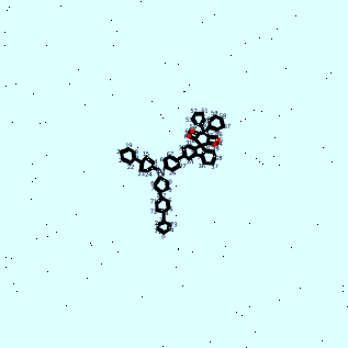 c1ccc(-c2ccc(-c3ccc(N(c4ccc(-c5ccccc5)cc4)c4ccc(-c5ccc6c(c5)-c5ccccc5C65c6ccccc6C(c6ccccc6)(c6ccccc6)c6ccccc65)cc4)cc3)cc2)cc1